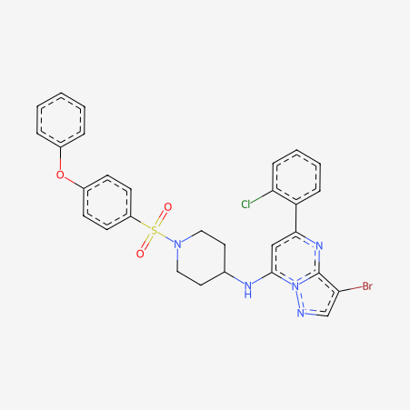 O=S(=O)(c1ccc(Oc2ccccc2)cc1)N1CCC(Nc2cc(-c3ccccc3Cl)nc3c(Br)cnn23)CC1